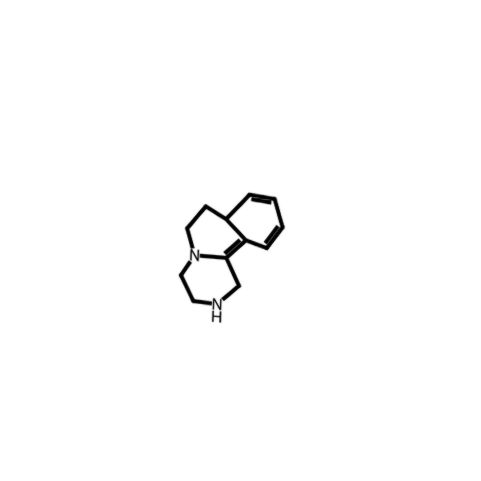 C1=CC2=C3CNCCN3CCC2C=C1